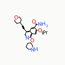 CC(C)Oc1cc2c(O[C@@H]3CCCNC3)ncc(C#CC3CCOCC3)c2cc1C(N)=O